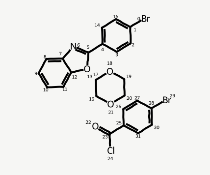 Brc1ccc(-c2nc3ccccc3o2)cc1.C1COCCO1.O=C(Cl)c1ccc(Br)cc1